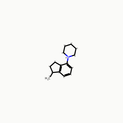 CC1CCc2c1cccc2N1CCCCC1